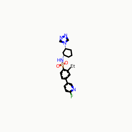 CCc1cc(-c2ccc(F)nc2)ccc1S(=O)(=O)N[C@H]1CCC[C@@H](n2cnnc2)C1